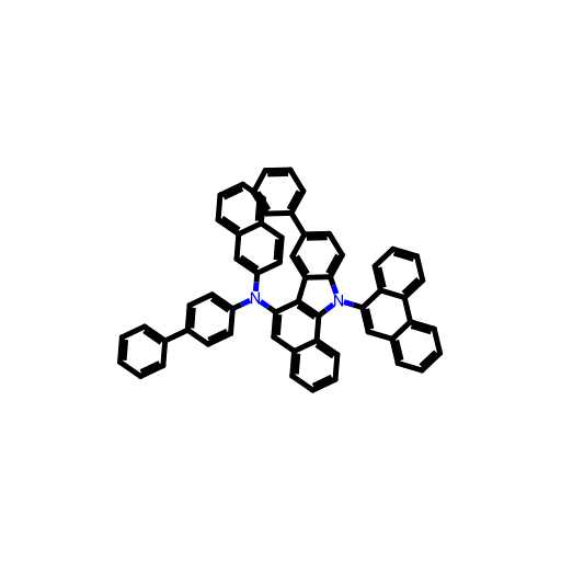 c1ccc(-c2ccc(N(c3ccc4ccccc4c3)c3cc4ccccc4c4c3c3cc(-c5ccccc5)ccc3n4-c3cc4ccccc4c4ccccc34)cc2)cc1